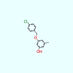 Cc1cc(O)cc(OCc2ccc(Cl)cc2)c1